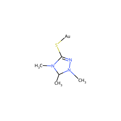 CC1N(C)N=C([S][Au])N1C